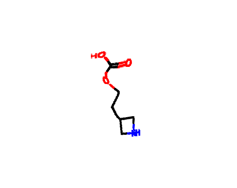 O=C(O)OCCC1CNC1